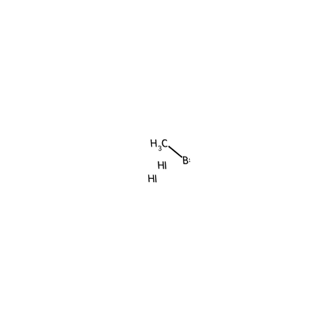 I.I.[B]C